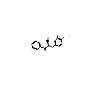 N#C/C(=C\c1ccc(O)c(Cl)c1)C(=O)c1ccccc1